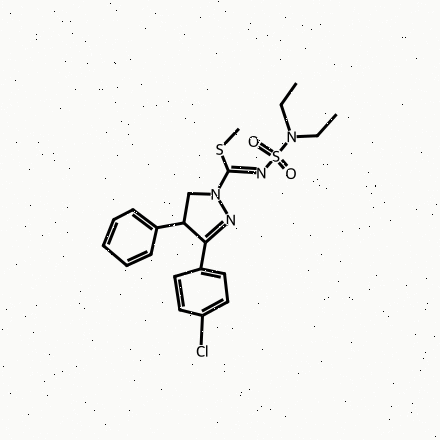 CCN(CC)S(=O)(=O)N=C(SC)N1CC(c2ccccc2)C(c2ccc(Cl)cc2)=N1